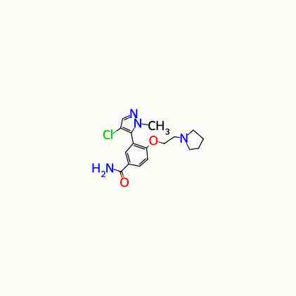 Cn1ncc(Cl)c1-c1cc(C(N)=O)ccc1OCCN1CCCC1